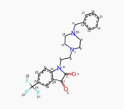 O=C1C(=O)N(CCN2CCN(Cc3ccccc3)CC2)c2ccc(C(F)(F)F)cc21